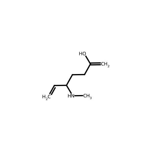 C=CC(CCC(=C)O)NC